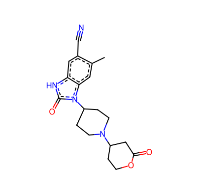 Cc1cc2c(cc1C#N)[nH]c(=O)n2C1CCN(C2CCOC(=O)C2)CC1